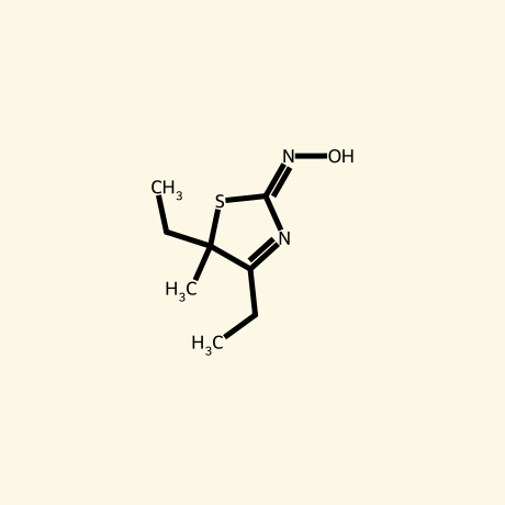 CCC1=NC(=NO)SC1(C)CC